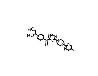 Cc1cnc(N2CCN(c3ncnc(Nc4ccc([C@@H](O)CO)cc4)n3)CC2)nc1